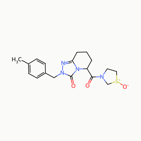 Cc1ccc(Cn2nc3n(c2=O)C(C(=O)N2CC[S+]([O-])C2)CCC3)cc1